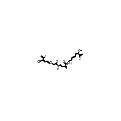 C=C(CCNC(=O)CO/C=C/C=C(/Cl)C(=C)F)C(=O)NCC/C=C/C=C(/OC)C(=C)Cl